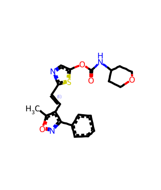 Cc1onc(-c2ccccc2)c1/C=C/c1ncc(OC(=O)NC2CCOCC2)s1